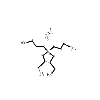 CCCC[N+](CCCC)(CCCC)CCCC.[Cl-].[I-].[Zn+]